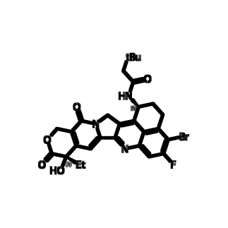 CC[C@@]1(O)C(=O)OCc2c1cc1n(c2=O)Cc2c-1nc1cc(F)c(Br)c3c1c2[C@@H](NC(=O)CC(C)(C)C)CC3